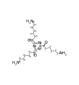 NCCCCCC(=O)c1nc(C(=O)CCCCCN)nc(C(=O)CCCCCN)n1